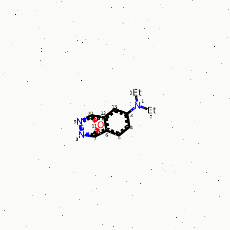 CCN(CC)c1ccc2c3nnc(o3)c2c1